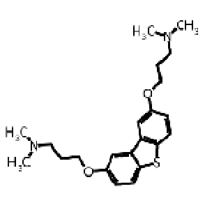 CN(C)CCCOc1ccc2sc3ccc(OCCCN(C)C)cc3c2c1